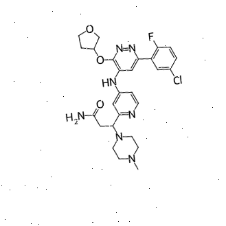 CN1CCN(C(CC(N)=O)c2cc(Nc3cc(-c4cc(Cl)ccc4F)nnc3OC3CCOC3)ccn2)CC1